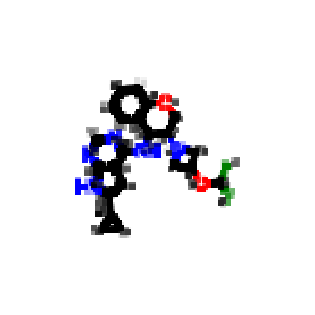 FC(F)OC1CN([C@H]2COc3ccccc3C2Nc2ncnc3[nH]c(C4CC4)cc23)C1